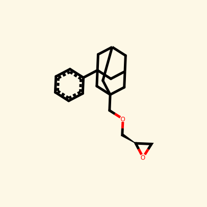 c1ccc(C23CC4CC(CC(COC[C@H]5CO5)(C4)C2)C3)cc1